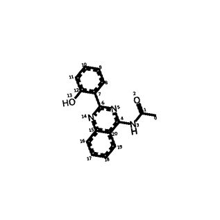 CC(=O)Nc1nc(-c2ccccc2O)nc2ccccc12